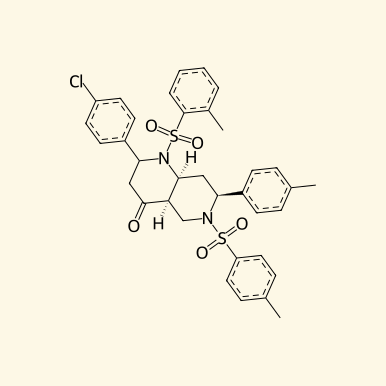 Cc1ccc([C@@H]2C[C@H]3[C@@H](CN2S(=O)(=O)c2ccc(C)cc2)C(=O)CC(c2ccc(Cl)cc2)N3S(=O)(=O)c2ccccc2C)cc1